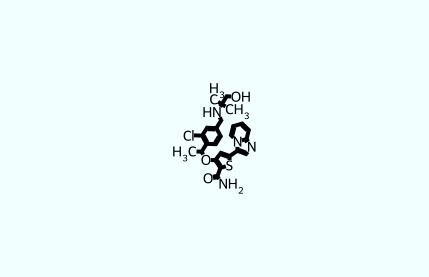 CC(Oc1cc(-c2cnc3ccccn23)sc1C(N)=O)c1ccc(CNC(C)(C)CO)cc1Cl